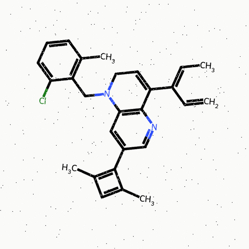 C=C/C(=C\C)C1=CCN(Cc2c(C)cccc2Cl)c2cc(C3=C(C)C=C3C)cnc21